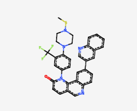 CSN1CCN(c2ccc(-n3c(=O)ccc4cnc5ccc(-c6cnc7ccccc7c6)cc5c43)cc2C(F)(F)F)CC1